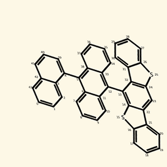 c1ccc2c(-c3c4ccccc4c(-c4c5sc6ccccc6c5cc5sc6ccccc6c45)c4ccccc34)cccc2c1